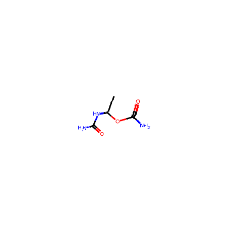 CC(NC(N)=O)OC(N)=O